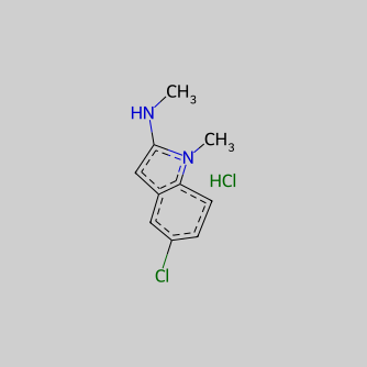 CNc1cc2cc(Cl)ccc2n1C.Cl